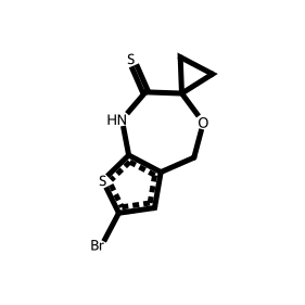 S=C1Nc2sc(Br)cc2COC12CC2